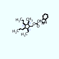 C=CC=C1/C(=C\C)C(COC(=O)On2nnc3ccccc32)C(=C/C)/C1=C\C=C